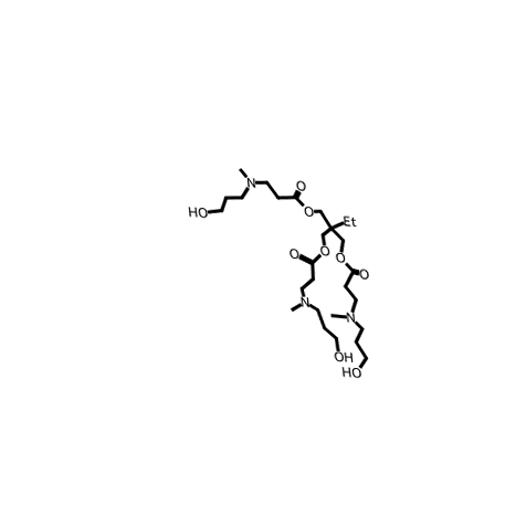 CCC(COC(=O)CCN(C)CCCO)(COC(=O)CCN(C)CCCO)COC(=O)CCN(C)CCCO